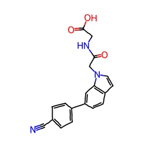 N#Cc1ccc(-c2ccc3ccn(CC(=O)NCC(=O)O)c3c2)cc1